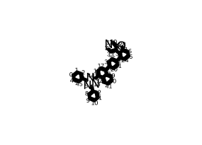 c1ccc(-c2nc(-c3ccccc3)nc(-c3ccc(-c4ccc(-c5cccc6oc7cnccc7c56)cc4)c4ccccc34)n2)cc1